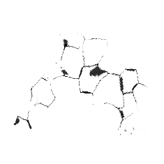 C=CC(=O)N1[C@H](C)CN(c2nc(=O)n3c4c(c(-c5ccc(F)c6sc(NC)c(C#N)c56)c(C(F)(F)F)cc24)SCC3CC)C[C@@H]1C